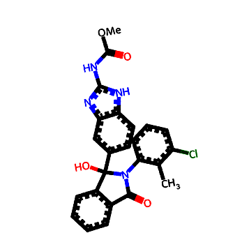 COC(=O)Nc1nc2cc(C3(O)c4ccccc4C(=O)N3c3cccc(Cl)c3C)ccc2[nH]1